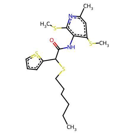 CCCCCCSC(C(=O)Nc1c(SC)cc(C)nc1SC)c1cccs1